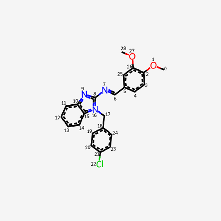 COc1ccc(/C=N/c2nc3ccccc3n2Cc2ccc(Cl)cc2)cc1OC